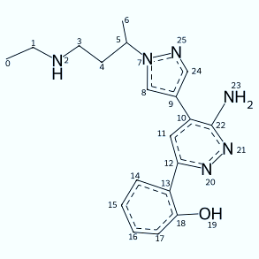 CCNCCC(C)n1cc(-c2cc(-c3ccccc3O)nnc2N)cn1